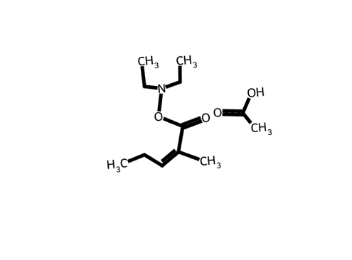 CC(=O)O.CCC=C(C)C(=O)ON(CC)CC